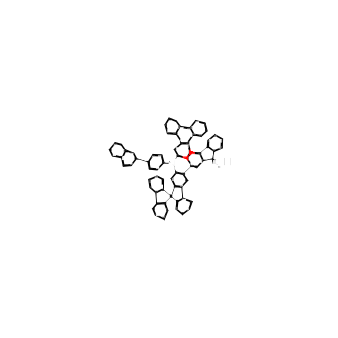 CC1(C)c2ccccc2-c2ccc(-c3cc4c(cc3N(c3ccc(-c5ccc6ccccc6c5)cc3)c3ccc5c6ccccc6c6ccccc6c5c3)C3(c5ccccc5-c5ccccc53)c3ccccc3-4)cc21